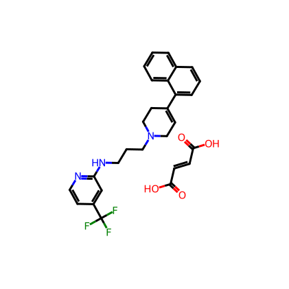 FC(F)(F)c1ccnc(NCCCN2CC=C(c3cccc4ccccc34)CC2)c1.O=C(O)/C=C/C(=O)O